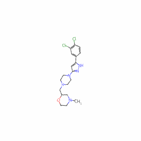 CN1CCOC(CN2CCN(c3cc(-c4ccc(Cl)c(Cl)c4)[nH]n3)CC2)C1